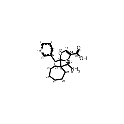 NC(=O)C1(C2(Cc3ccccc3)OC=C(C(=O)O)O2)CCCCCC1